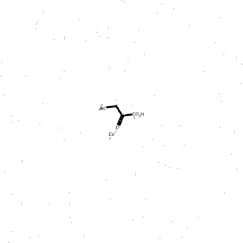 CC(=O)CC(=O)C(=O)O.[Cu]